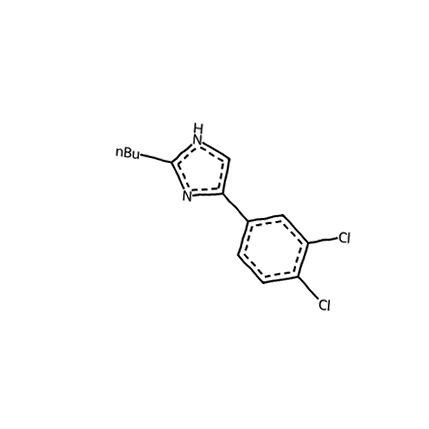 CCCCc1nc(-c2ccc(Cl)c(Cl)c2)c[nH]1